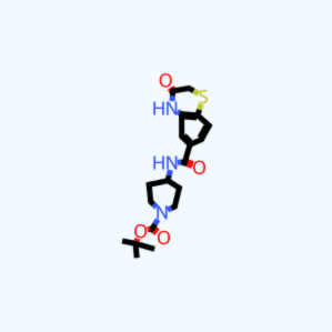 CC(C)(C)OC(=O)N1CCC(NC(=O)c2ccc3c(c2)NC(=O)CS3)CC1